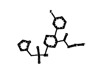 [N-]=[N+]=NC(=O)c1cc(NS(=O)(=O)Cc2ccco2)ccc1-c1cccc(F)c1